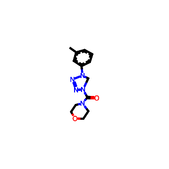 Cc1cccc(N2CN(C(=O)N3CCOCC3)N=N2)c1